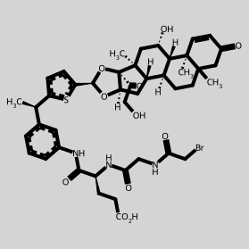 C[C@H](c1cccc(NC(=O)[C@H](CCC(=O)O)NC(=O)CNC(=O)CBr)c1)c1ccc([C@@H]2O[C@@H]3C[C@H]4[C@@H]5CCC6(C)CC(=O)C=C[C@]6(C)[C@H]5[C@@H](O)C[C@]4(C)[C@]3(C(=O)CO)O2)s1